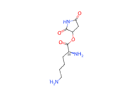 NCCCC[C@H](N)C(=O)OC1CC(=O)NC1=O